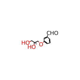 O=Cc1cccc(OC[C@H](O)CO)c1